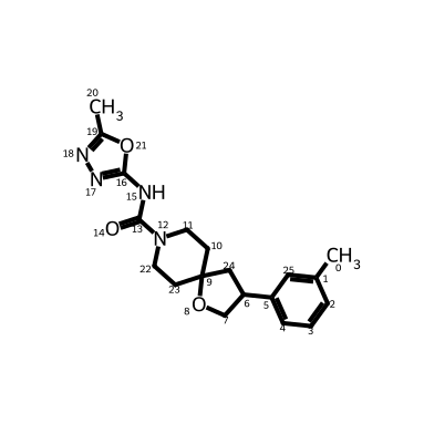 Cc1cccc(C2COC3(CCN(C(=O)Nc4nnc(C)o4)CC3)C2)c1